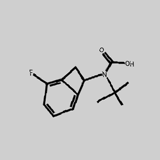 CC(C)(C)N(C(=O)O)C1Cc2c(F)cccc21